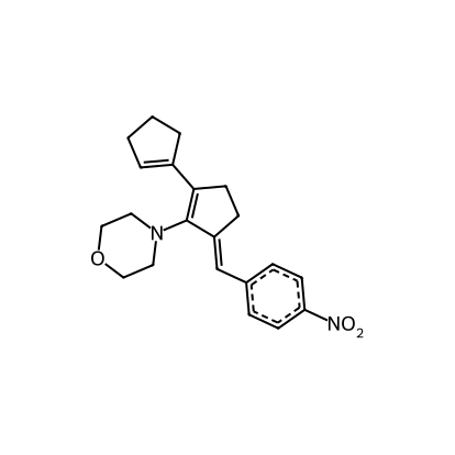 O=[N+]([O-])c1ccc(/C=C2\CCC(C3=CCCC3)=C2N2CCOCC2)cc1